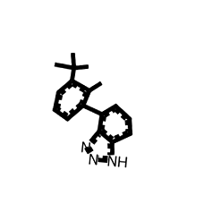 Cc1c(-c2cccc3[nH]nnc23)cccc1C(C)(C)C